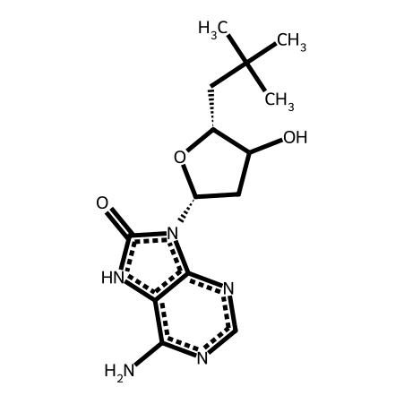 CC(C)(C)C[C@H]1O[C@@H](n2c(=O)[nH]c3c(N)ncnc32)CC1O